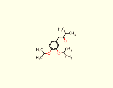 CC(C)Oc1ccc(CC(=O)C(C)C)cc1OC(C)C